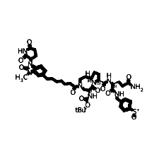 Cn1c(=O)n(C2CCC(=O)NC2=O)c2ccc(CCCCCCC(=O)N3CC[C@H]4CC[C@@H](C(=O)N[C@@H](CCC(N)=O)C(=O)NCc5ccc([S+]=O)cc5)N4C(=O)[C@@H](NC(=O)OC(C)(C)C)C3)cc21